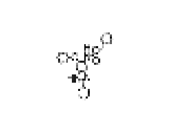 O=C(Nc1cc2nc(C3CCCCC3)[nH]c2cc1Oc1ccccc1)OCc1ccccc1